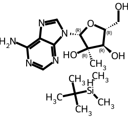 C[C@@]1(O)[C@H](O)[C@@H](CO)O[C@H]1n1cnc2c(N)ncnc21.C[SiH](C)C(C)(C)C